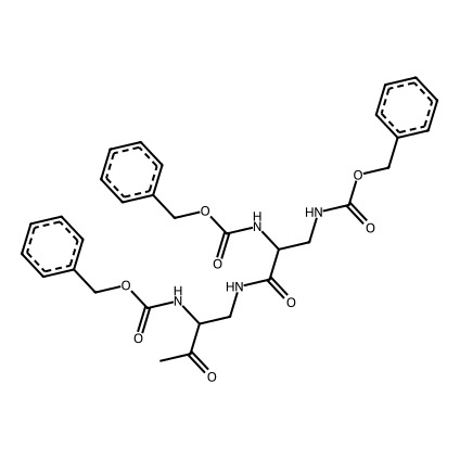 CC(=O)C(CNC(=O)C(CNC(=O)OCc1ccccc1)NC(=O)OCc1ccccc1)NC(=O)OCc1ccccc1